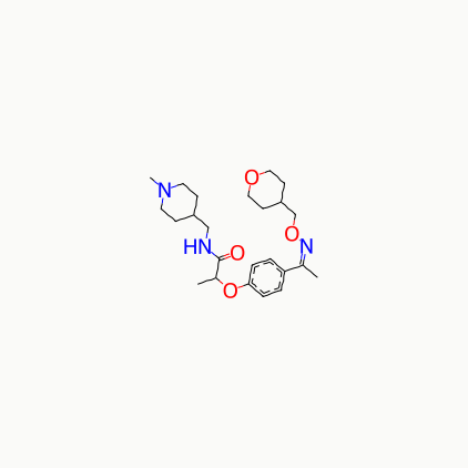 CC(=NOCC1CCOCC1)c1ccc(OC(C)C(=O)NCC2CCN(C)CC2)cc1